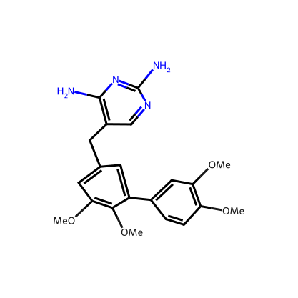 COc1ccc(-c2cc(Cc3cnc(N)nc3N)cc(OC)c2OC)cc1OC